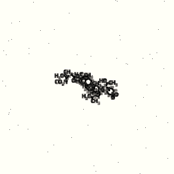 C=C(C)[C@@H]1CC[C@]2(NC[C@@H]([C@H](C)O)N3CCS(=O)(=O)CC3)CC[C@]3(C)[C@H](CC[C@@H]4[C@@]5(C)CC[C@H](OC(=O)C[C@@H]6[C@H](C(=O)O)C6(C)C)C(C)(C)[C@@H]5CC[C@]43C)[C@@H]12